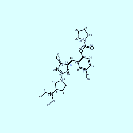 CCN(CC)C1CCN(C2=NC(=O)/C(=C/c3cc(F)ccc3OC(=O)N3CCCC3)S2)C1